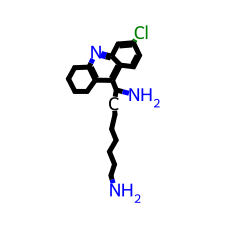 NCCCCCCCC(N)c1c2c(nc3cc(Cl)ccc13)CCCC2